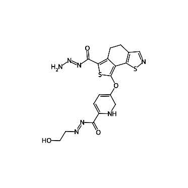 NN=NC(=O)c1sc(OC2=CC=C(C(=O)N=NCCO)NC2)c2c1CCc1cnsc1-2